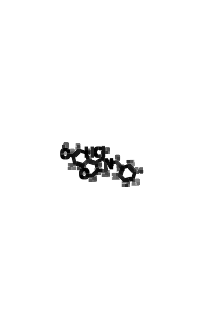 COC1=CCC2=C3CN(Cc4ccccc4)CC3COC2=C1.Cl